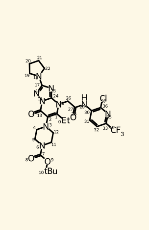 CCc1c(N2CCN(C(=O)OC(C)(C)C)CC2)c(=O)n2nc(N3CCCC3)nc2n1CC(=O)Nc1ccc(C(F)(F)F)nc1Cl